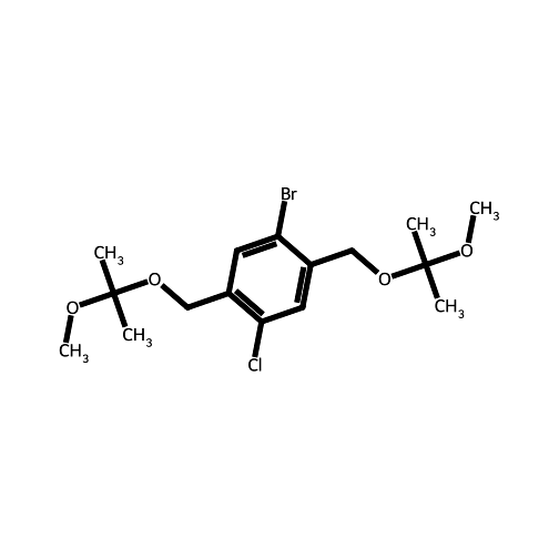 COC(C)(C)OCc1cc(Br)c(COC(C)(C)OC)cc1Cl